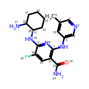 Cc1cncc(Nc2nc(N[C@@H]3CCCCC3N)c(F)cc2C(N)=O)c1